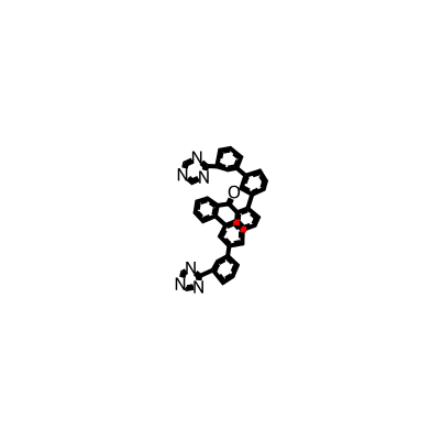 O=C(c1ccccc1-c1cccc(-c2cccc(-c3ncncn3)c2)c1)c1ccccc1-c1cccc(-c2cccc(-c3ncncn3)c2)c1